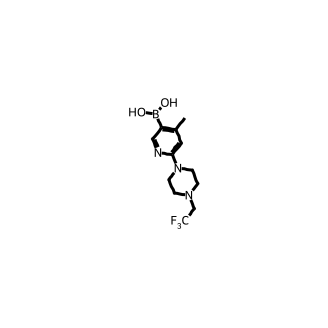 Cc1cc(N2CCN(CC(F)(F)F)CC2)ncc1B(O)O